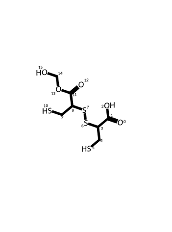 O=C(O)C(CS)SSC(CS)C(=O)OCO